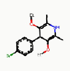 CCOC1=C(C)NC(C)=C(OCC)C1c1ccc(Br)cc1